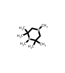 CN1CC(C)(C)N(C)C(C)(C)C1